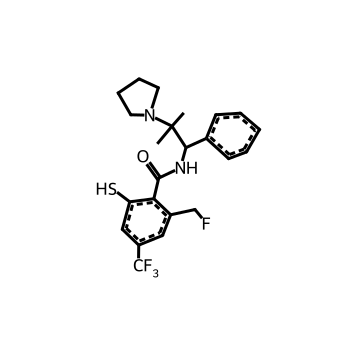 CC(C)(C(NC(=O)c1c(S)cc(C(F)(F)F)cc1CF)c1ccccc1)N1CCCC1